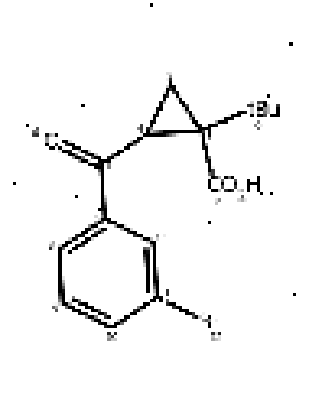 CC(C)(C)C1(C(=O)O)CC1C(=O)c1cccc(Br)c1